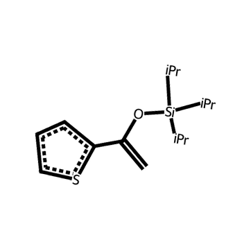 C=C(O[Si](C(C)C)(C(C)C)C(C)C)c1cccs1